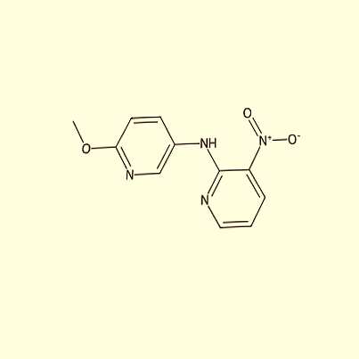 COc1ccc(Nc2ncccc2[N+](=O)[O-])cn1